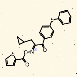 O=C(/C(CC1CC1)=N/OC(=O)c1cccs1)c1ccc(Sc2ccccc2)cc1